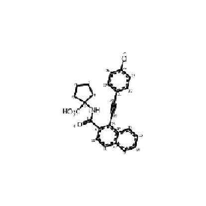 O=C(NC1(C(=O)O)CCCC1)c1ccc2ccccc2c1C#Cc1ccc(Cl)cc1